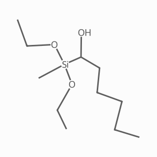 CCCCCC(O)[Si](C)(OCC)OCC